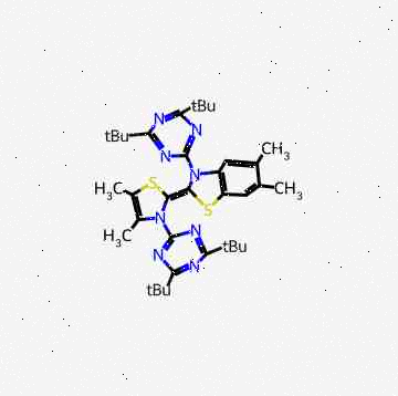 CC1=C(C)N(c2nc(C(C)(C)C)nc(C(C)(C)C)n2)/C(=C2\Sc3cc(C)c(C)cc3N2c2nc(C(C)(C)C)nc(C(C)(C)C)n2)S1